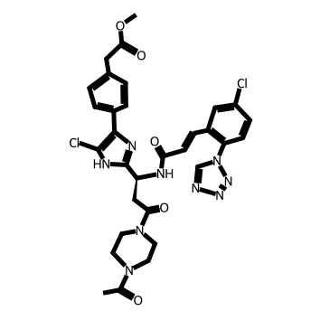 COC(=O)Cc1ccc(-c2nc([C@H](CC(=O)N3CCN(C(C)=O)CC3)NC(=O)/C=C/c3cc(Cl)ccc3-n3cnnn3)[nH]c2Cl)cc1